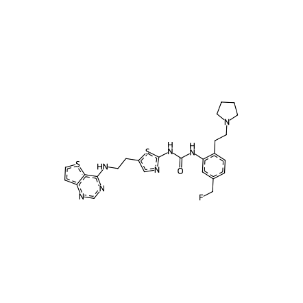 O=C(Nc1ncc(CCNc2ncnc3ccsc23)s1)Nc1cc(CF)ccc1CCN1CCCC1